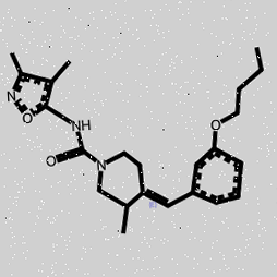 CCCCOc1cccc(/C=C2\CCN(C(=O)Nc3onc(C)c3C)CC2C)c1